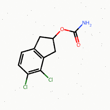 NC(=O)OC1Cc2ccc(Cl)c(Cl)c2C1